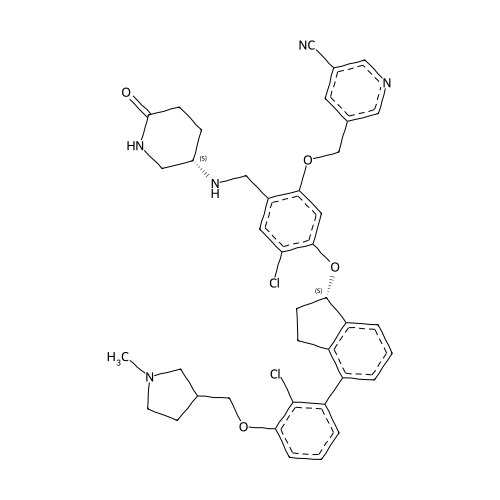 CN1CCC(COc2cccc(-c3cccc4c3CC[C@@H]4Oc3cc(OCc4cncc(C#N)c4)c(CN[C@H]4CCC(=O)NC4)cc3Cl)c2Cl)C1